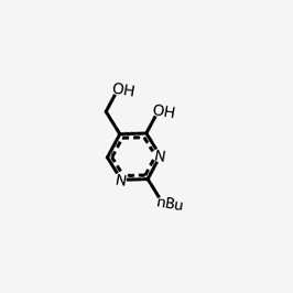 CCCCc1ncc(CO)c(O)n1